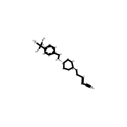 N#CC=CCC[C@H]1CC[C@H](CCc2ccc(C(F)(F)F)cc2)CC1